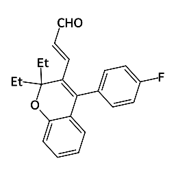 CCC1(CC)Oc2ccccc2C(c2ccc(F)cc2)=C1C=CC=O